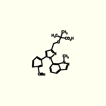 CC(C)COc1cccc(-c2cc(COC(C)(C)C(=O)O)nn2-c2cccc3cnn(C)c23)c1